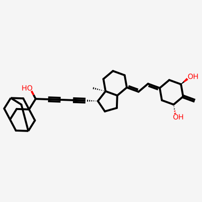 C=C1[C@H](O)CC(=C/C=C2\CCC[C@@]3(C)C2CC[C@@H]3C#CC#CC(O)C23CC4CC(CC(C4)C2)C3)C[C@H]1O